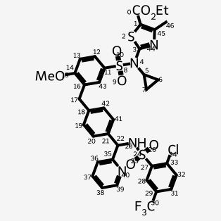 CCOC(=O)c1sc(N(C2CC2)S(=O)(=O)c2ccc(OC)c(Cc3ccc(C(NS(=O)(=O)c4cc(C(F)(F)F)ccc4Cl)c4ccccn4)cc3)c2)nc1C